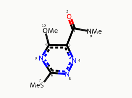 CNC(=O)c1nnc(SC)nc1OC